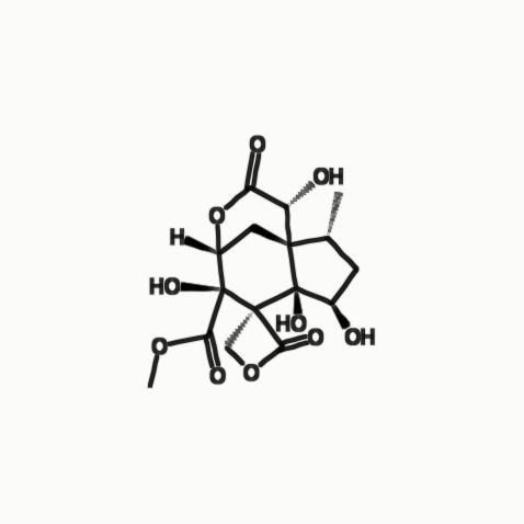 COC(=O)[C@]1(O)[C@H]2C[C@]3([C@H](C)C[C@@H](O)[C@]3(O)[C@]13COC3=O)[C@@H](O)C(=O)O2